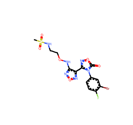 CS(=O)(=O)NCCONc1nonc1-c1noc(=O)n1-c1ccc(F)c(Br)c1